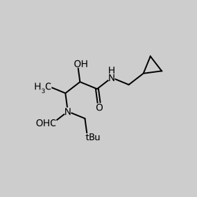 CC(C(O)C(=O)NCC1CC1)N(C=O)CC(C)(C)C